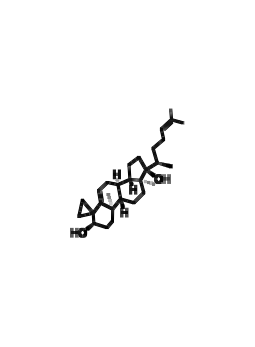 CC(C)=CCC[C@@H](C)[C@@]1(O)CC[C@H]2[C@@H]3CC=C4C5(CC5)[C@H](O)CC[C@]4(C)[C@H]3CC[C@@]21C